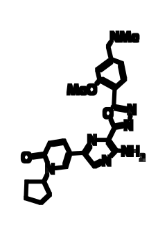 CNCc1ccc(-c2nnc(-c3nc(-c4ccc(=O)n(C5CCCC5)c4)cnc3N)o2)c(OC)c1